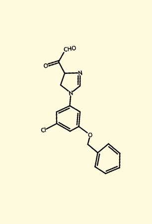 O=CC(=O)C1CN(c2cc(Cl)cc(OCc3ccccc3)c2)C=N1